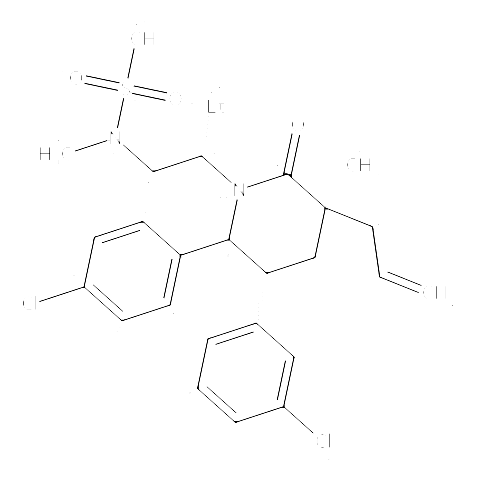 C=CC[C@@]1(C)C[C@H](c2cccc(Cl)c2)C(c2ccc(Cl)cc2)N([C@@H](CC)CN(C)S(C)(=O)=O)C1=O